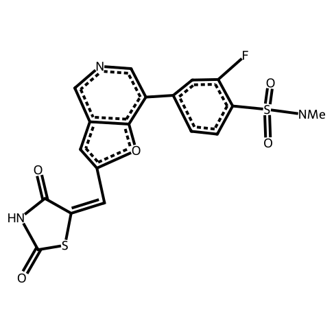 CNS(=O)(=O)c1ccc(-c2cncc3cc(/C=C4/SC(=O)NC4=O)oc23)cc1F